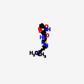 CN(C)CCCCc1cnn(-c2ncc(CNC(=O)c3ccc4c(c3)NC(=O)c3ccccc3S4(=O)=O)s2)c1